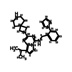 CC(C)c1cnn2c(NCc3ccccc3-n3cccn3)nc(N3CC4(CCNCC4)C3)nc12